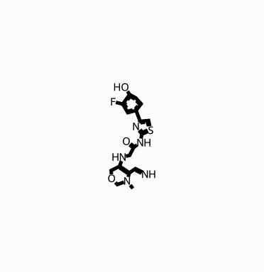 CN1COCC(NCC(=O)Nc2nc(-c3ccc(O)c(F)c3)cs2)=C1C=N